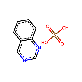 O=S(=O)(O)O.c1ccc2ncncc2c1